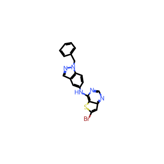 Brc1cc2ncnc(Nc3ccc4c(cnn4Cc4ccccc4)c3)c2s1